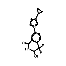 O=C1NC(O)C(F)(F)c2ccc(-n3cnc(C4CC4)c3)cc21